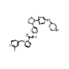 O=C(Nc1nc(C2CCCN2c2ccc(OC3CCNCC3)cn2)cs1)c1cccn1Cc1ccnc(F)c1